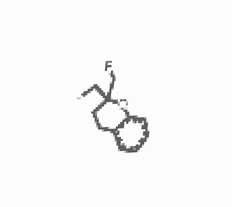 FCC1(CF)CCc2ccccc2O1